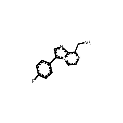 NCc1nccn2c(-c3ccc(F)cc3)cnc12